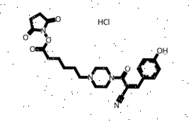 Cl.N#CC(=Cc1ccc(O)cc1)C(=O)N1CCN(CCCCCC(=O)ON2C(=O)CCC2=O)CC1